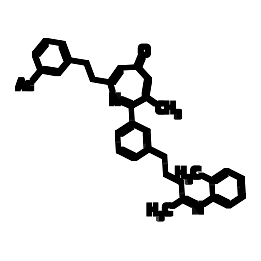 CC(=O)c1cccc(CCc2cc(=O)cc(C)c(-c3cccc(CCC/C(C)=N\c4ccccc4C)c3)n2)c1